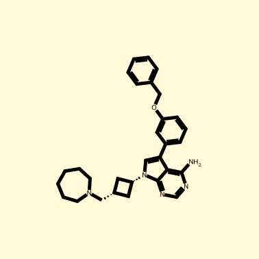 Nc1ncnc2c1c(-c1cccc(OCc3ccccc3)c1)cn2[C@H]1C[C@@H](CN2CCCCCC2)C1